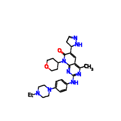 CCN1CCN(c2ccc(Nc3nc(C)c4cc(C5CC=NN5)c(=O)n(C5CCOCC5)c4n3)cc2)CC1